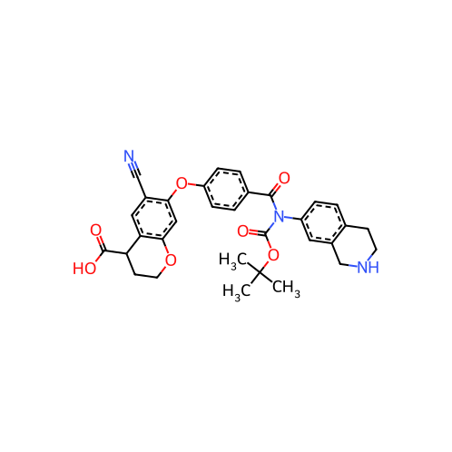 CC(C)(C)OC(=O)N(C(=O)c1ccc(Oc2cc3c(cc2C#N)C(C(=O)O)CCO3)cc1)c1ccc2c(c1)CNCC2